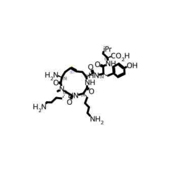 CC(C)C[C@H](NC(=O)[C@H](Cc1ccc(O)cc1)NC(=O)[C@@H]1C/C=C/C[C@H](N)C(=O)N(C)[C@@H](CCCCN)C(=O)N[C@@H](CCCCN)C(=O)N1)C(=O)O